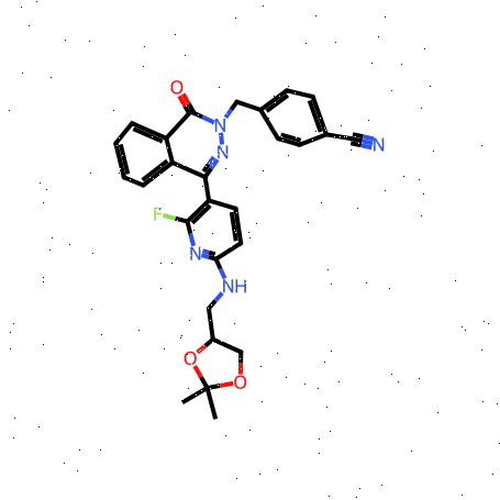 CC1(C)OCC(CNc2ccc(-c3nn(Cc4ccc(C#N)cc4)c(=O)c4ccccc34)c(F)n2)O1